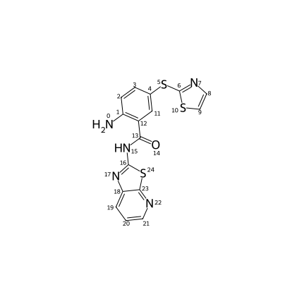 Nc1ccc(Sc2nccs2)cc1C(=O)Nc1nc2cccnc2s1